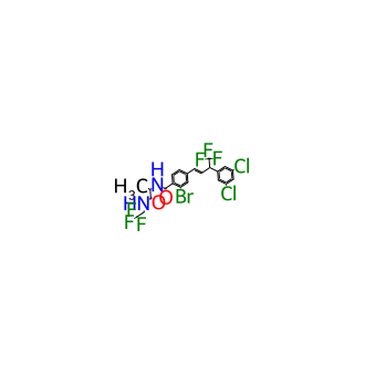 C[C@@H](NC(=O)c1ccc(/C=C/C(c2cc(Cl)cc(Cl)c2)C(F)(F)F)cc1Br)C(=O)NCC(F)(F)F